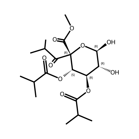 COC(=O)[C@@]1(C(=O)C(C)C)O[C@@H](O)[C@H](O)[C@@H](OC(=O)C(C)C)[C@@H]1OC(=O)C(C)C